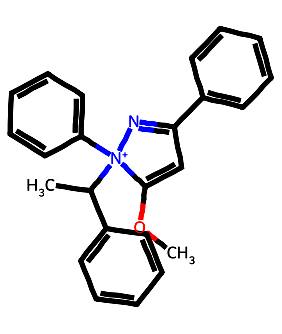 COC1=CC(c2ccccc2)=N[N+]1(c1ccccc1)C(C)c1ccccc1